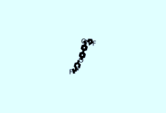 CC(C)(F)CN1CCC(COc2ccc(-c3ccc(C(=O)N4CC[C@@H](F)C4)cc3)cc2)CC1